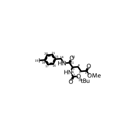 COC(=O)CCC(NC(=O)OC(C)(C)C)C(=O)NCc1ccc(I)cc1